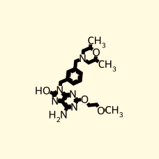 COCCOc1nc(N)c2nc(O)n(Cc3cccc(CN4CC(C)OC(C)C4)c3)c2n1